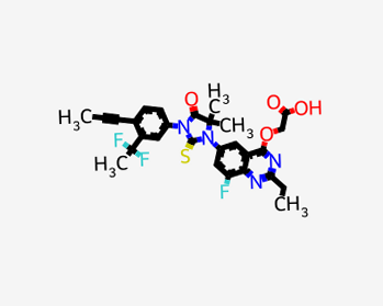 CC#Cc1ccc(N2C(=O)C(C)(C)N(c3cc(F)c4nc(CC)nc(OCC(=O)O)c4c3)C2=S)cc1C(C)(F)F